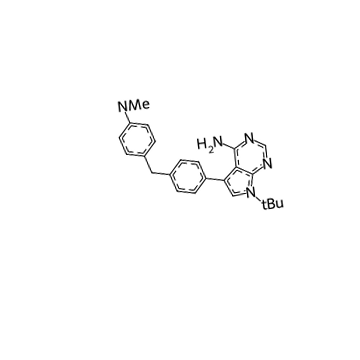 CNc1ccc(Cc2ccc(-c3cn(C(C)(C)C)c4ncnc(N)c34)cc2)cc1